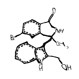 CC1(c2c(CO)[nH]c3ccccc23)NC(=O)c2ccc(Br)cc21